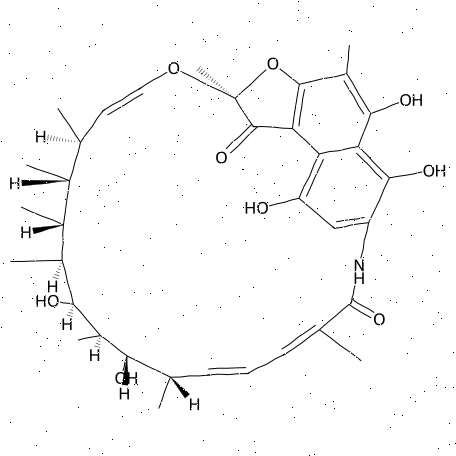 C/C1=C/C=C/[C@H](C)[C@H](O)[C@@H](C)[C@@H](O)[C@@H](C)[C@H](C)[C@H](C)[C@@H](C)/C=C/O[C@@]2(C)Oc3c(C)c(O)c4c(O)c(cc(O)c4c3C2=O)NC1=O